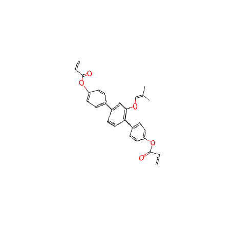 C=CC(=O)Oc1ccc(-c2ccc(-c3ccc(OC(=O)C=C)cc3)c(OC=C(C)C)c2)cc1